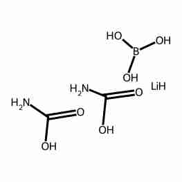 NC(=O)O.NC(=O)O.OB(O)O.[LiH]